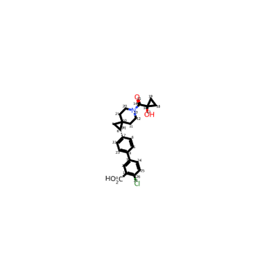 O=C(O)c1cc(-c2ccc([C@@H]3CC34CCN(C(=O)C3(O)CC3)CC4)cc2)ccc1Cl